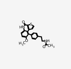 COc1ccc2[nH]c(=O)c3sccc3c2c1-c1ccc(CCNC(C)=O)cc1